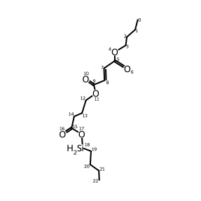 CCCCOC(=O)C=CC(=O)OCCCC(=O)O[SiH2]CCCC